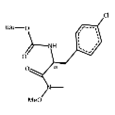 CON(C)C(=O)[C@H](Cc1ccc(Cl)cc1)NC(=O)OC(C)(C)C